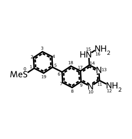 CSc1cccc(-c2ccc3nc(N)nc(NN)c3c2)c1